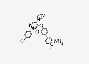 Nc1cc(-c2ccc(Oc3c(-n4ccnc4)cnn(-c4ccc(Cl)cc4)c3=O)cc2)ccc1F